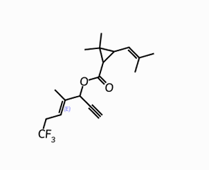 C#CC(OC(=O)C1C(C=C(C)C)C1(C)C)/C(C)=C/CC(F)(F)F